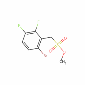 COS(=O)(=O)Cc1c(Br)ccc(F)c1F